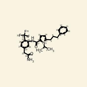 CC(C)n1c(CCCc2ccccc2)ccc1C(=O)Nc1cc(CC(N)=O)ccc1C(F)(F)F